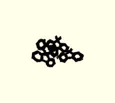 CC1(C)c2ccccc2-c2ccc(N(c3cccc4c3-c3ccccc3C4(C)C)c3cccc4c3C3(c5ccccc5-c5ccccc53)C3C=CC=CC43)cc21